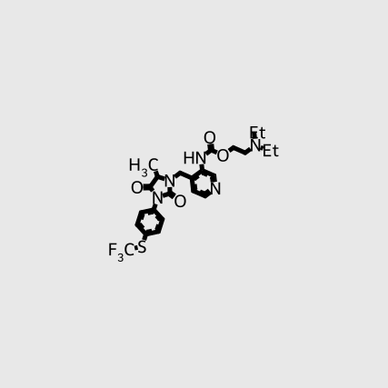 CCN(CC)CCOC(=O)Nc1cnccc1CN1C(=O)N(c2ccc(SC(F)(F)F)cc2)C(=O)C1C